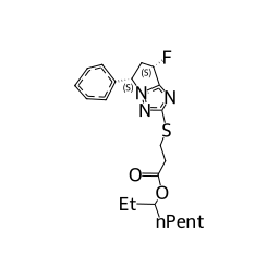 CCCCCC(CC)OC(=O)CCSc1nc2n(n1)[C@H](c1ccccc1)C[C@@H]2F